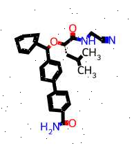 CC(C)C[C@H](OC(c1ccccc1)c1ccc(-c2ccc(C(N)=O)cc2)cc1)C(=O)NCC#N